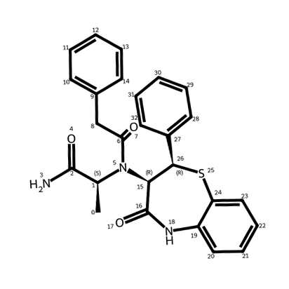 C[C@@H](C(N)=O)N(C(=O)Cc1ccccc1)[C@@H]1C(=O)Nc2ccccc2S[C@@H]1c1ccccc1